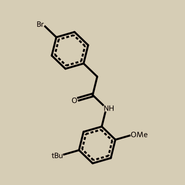 COc1ccc(C(C)(C)C)cc1NC(=O)Cc1ccc(Br)cc1